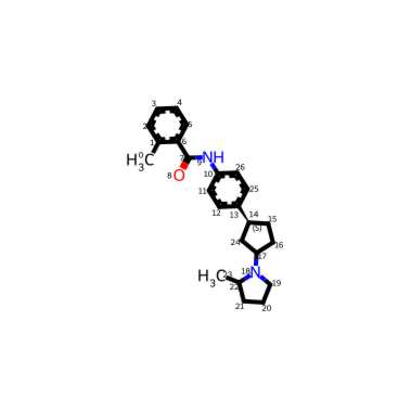 Cc1ccccc1C(=O)Nc1ccc([C@H]2CCC(N3CCCC3C)C2)cc1